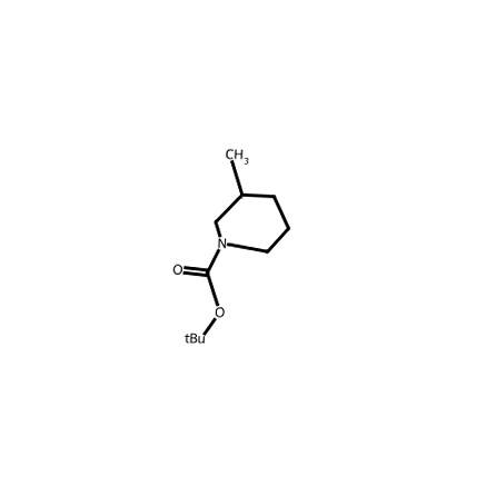 C[C]1CCCN(C(=O)OC(C)(C)C)C1